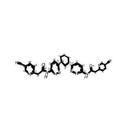 N#Cc1ccc(CC(=O)Nc2ccc([C@H]3CCC[C@H](c4ccc(NC(=O)Cc5ccc(C#N)cn5)nn4)C3)nn2)nc1